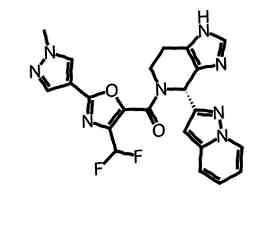 Cn1cc(-c2nc(C(F)F)c(C(=O)N3CCc4[nH]cnc4[C@@H]3c3cc4ccccn4n3)o2)cn1